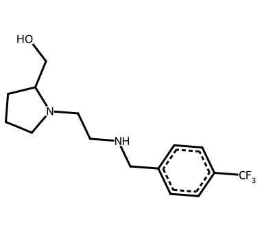 OCC1CCCN1CCNCc1ccc(C(F)(F)F)cc1